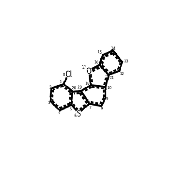 Clc1cccc2sc3ccc4c5ccccc5oc4c3c12